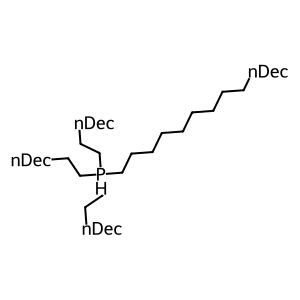 CCCCCCCCCCCCCCCCCCC[PH](CCCCCCCCCCCC)(CCCCCCCCCCCC)CCCCCCCCCCCC